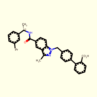 Cc1nn(Cc2ccc(-c3ccccc3C(=O)O)cc2)c2ccc(C(=O)N[C@@H](C)c3cccc(C(C)C)c3)cc12